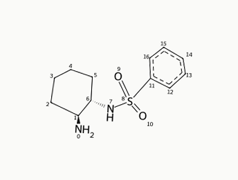 N[C@H]1CCCC[C@@H]1NS(=O)(=O)c1ccccc1